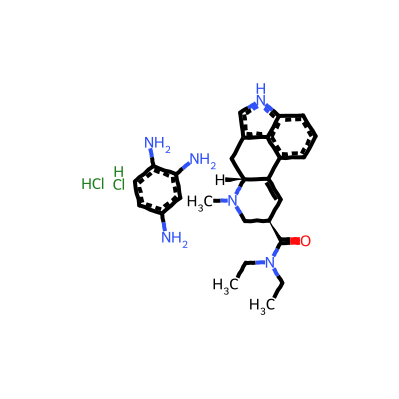 CCN(CC)C(=O)[C@@H]1C=C2c3cccc4[nH]cc(c34)C[C@H]2N(C)C1.Cl.Cl.Nc1ccc(N)c(N)c1